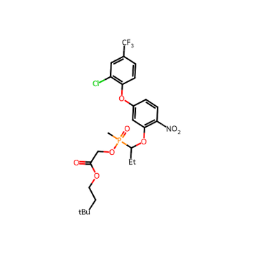 CCC(Oc1cc(Oc2ccc(C(F)(F)F)cc2Cl)ccc1[N+](=O)[O-])P(C)(=O)OCC(=O)OCCC(C)(C)C